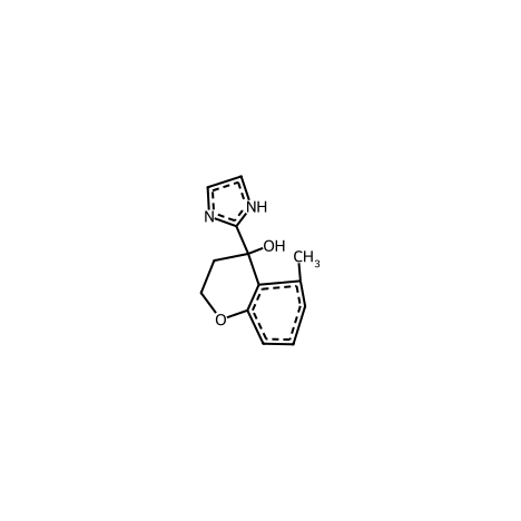 Cc1cccc2c1C(O)(c1ncc[nH]1)CCO2